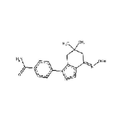 CC(C)CO/N=C1\CC(C)(C)Cc2c1cnn2-c1ccc(C(N)=O)cc1